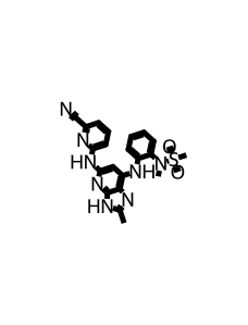 Cc1nc2c(Nc3ccccc3N(C)S(C)(=O)=O)cc(Nc3cccc(C#N)n3)nc2[nH]1